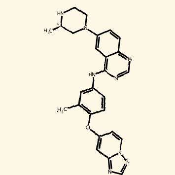 Cc1cc(Nc2ncnc3ccc(N4CCN[C@H](C)C4)cc23)ccc1Oc1ccn2ncnc2c1